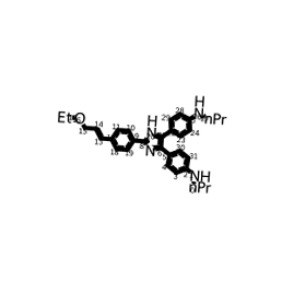 CCCNc1ccc(-c2nc(-c3ccc(C=CCOCC)cc3)[nH]c2-c2ccc(NCCC)cc2)cc1